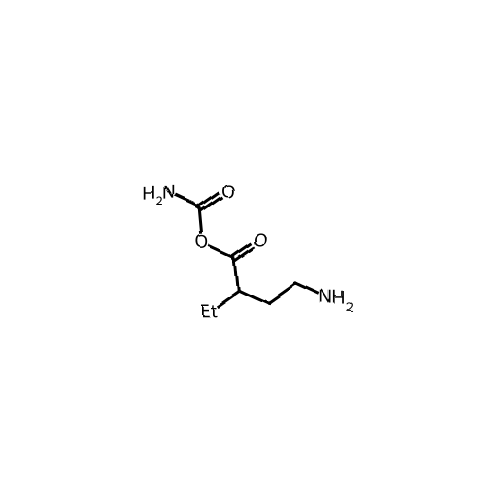 CCC(CCN)C(=O)OC(N)=O